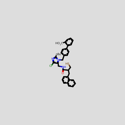 CCCCc1nc(Cl)c(CNC(=O)C(CS)Cc2cccc3ccccc23)n1Cc1ccc(-c2ccccc2C(=O)O)cc1